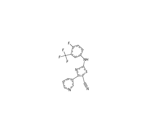 N#Cc1sc(Nc2ccc(F)c(C(F)(F)F)c2)nc1-c1cccnc1